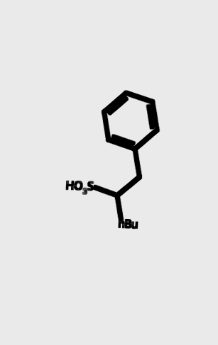 CCCCC(Cc1ccccc1)S(=O)(=O)O